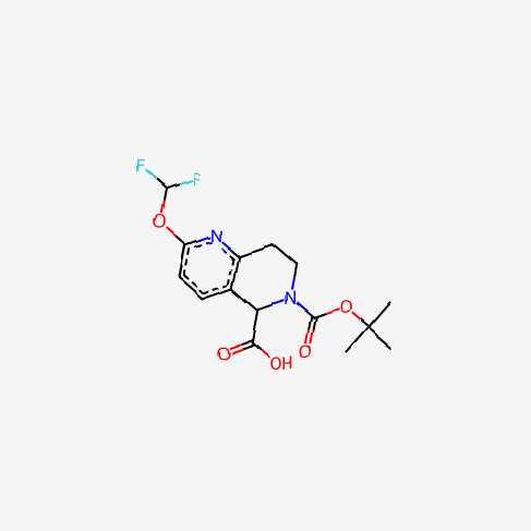 CC(C)(C)OC(=O)N1CCc2nc(OC(F)F)ccc2C1C(=O)O